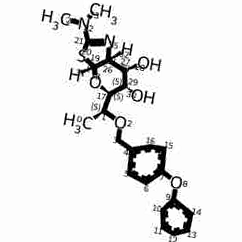 C[C@H](OCc1ccc(Oc2ccccc2)cc1)[C@H]1O[C@@H]2SC(N(C)C)=N[C@@H]2[C@@H](O)[C@@H]1O